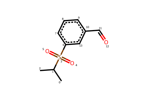 CC(C)S(=O)(=O)c1cccc(C=O)c1